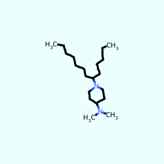 CCCCCCCC(CCCCC)N1CCC(N(C)C)CC1